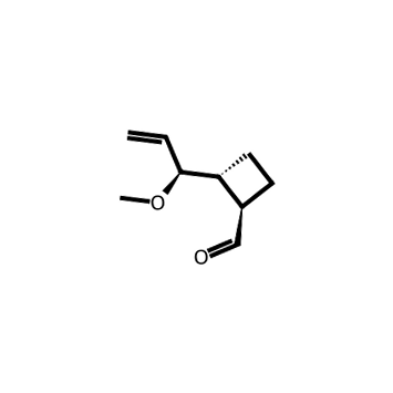 C=C[C@H](OC)[C@@H]1CC[C@H]1C=O